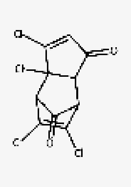 O=C1C2C(Cl)=C(Cl)C1C1(Cl)C(Cl)=CC(=O)C21